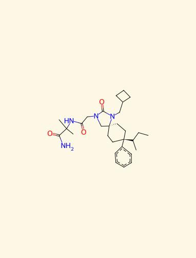 CCC(C)[C@]1(c2ccccc2)CC[C@]2(CC1)CN(CC(=O)NC(C)(C)C(N)=O)C(=O)N2CC1CCC1